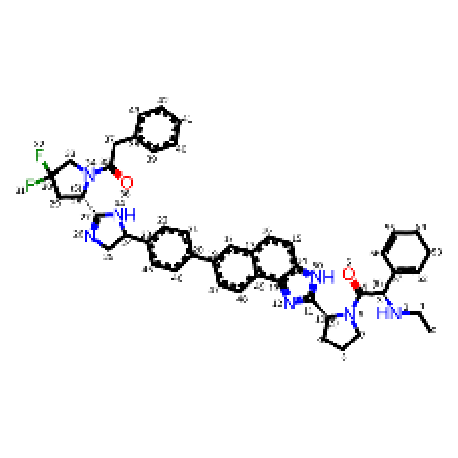 CCN[C@@H](C(=O)N1CCC[C@H]1c1nc2c(ccc3cc(-c4ccc(C5CN=C([C@@H]6CC(F)(F)CN6C(=O)Cc6ccccc6)N5)cc4)ccc32)[nH]1)C1=CCCC=C1